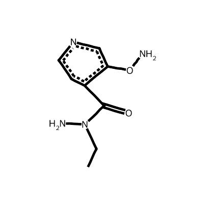 CCN(N)C(=O)c1ccncc1ON